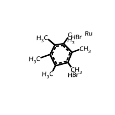 Br.Br.Cc1c(C)c(C)c(C)c(C)c1C.[Ru]